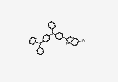 CC(C)c1ccc2nc(-c3ccc(N(c4ccccc4)c4ccc(N(c5ccccc5)c5ccccc5)cc4)cc3)cn2c1